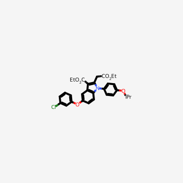 CCOC(=O)Cc1c(C(=O)OCC)c2cc(Oc3cccc(Cl)c3)ccc2n1-c1ccc(OC(C)C)cc1